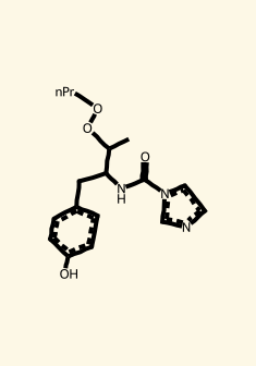 CCCOOC(C)C(Cc1ccc(O)cc1)NC(=O)n1ccnc1